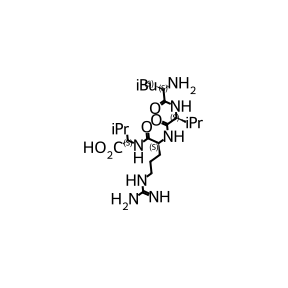 CC[C@H](C)[C@H](N)C(=O)N[C@H](C(=O)N[C@@H](CCCNC(=N)N)C(=O)N[C@H](C(=O)O)C(C)C)C(C)C